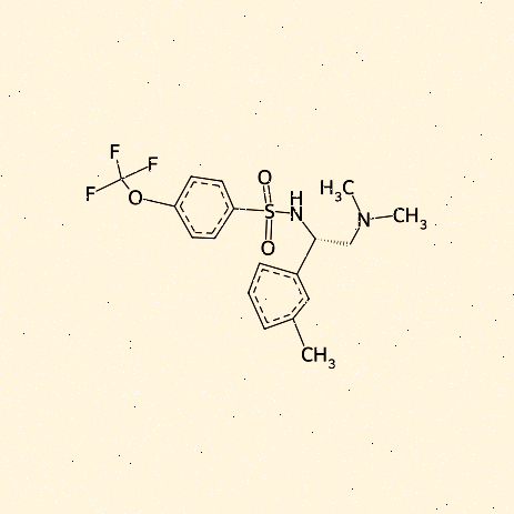 Cc1cccc([C@@H](CN(C)C)NS(=O)(=O)c2ccc(OC(F)(F)F)cc2)c1